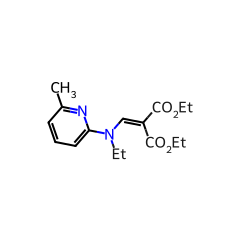 CCOC(=O)C(=CN(CC)c1cccc(C)n1)C(=O)OCC